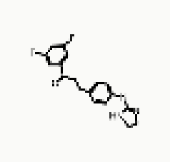 O=C(CCc1ccc(NC2=NCCN2)cc1)c1cc(F)cc(F)c1